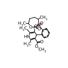 COC(=O)C1=C(C)NC(C)=C(P2(=O)OC(C)CCC(C)O2)C1c1ccccc1[N+](=O)[O-]